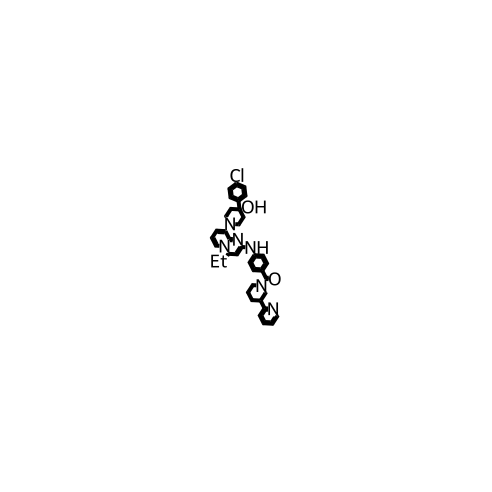 CCC1C=C(Nc2ccc(C(=O)N3CCCC(c4ccccn4)C3)cc2)N=C2C(N3CCC(O)(c4ccc(Cl)cc4)CC3)=CC=CN21